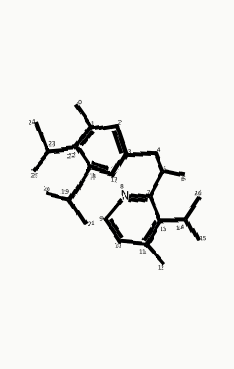 Cc1cc(CC(C)c2nccc(C)c2C(C)C)cc(C(C)C)c1C(C)C